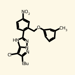 Cc1cccc(OCc2cc([N+](=O)[O-])ccc2-c2nn3nc(C(C)(C)C)c(Cl)c3[nH]2)c1